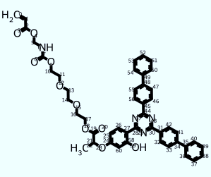 C=CC(=O)OCNC(=O)OCCOCCOCCOC(=O)C(C)Oc1ccc(-c2nc(-c3ccc(-c4ccccc4)cc3)nc(-c3ccc(-c4ccccc4)cc3)n2)c(O)c1